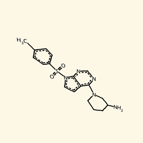 Cc1ccc(S(=O)(=O)n2ccc3c(N4CCCC(N)C4)ncnc32)cc1